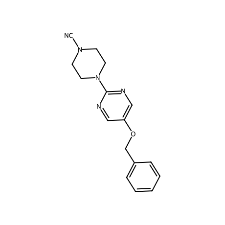 N#CN1CCN(c2ncc(OCc3ccccc3)cn2)CC1